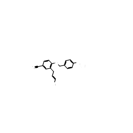 COc1ccc(COc2ccc(C#N)cc2CC=CBr)cc1